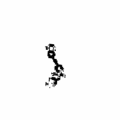 CN1CCOc2cc(C#Cc3cc[n+]4c(=O)n(CC(CN)=C(F)F)[nH]c4c3)ccc21